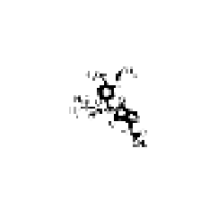 CCOc1cc([C@@H](CS(=O)(=O)N(C)C)N2C(=O)c3csc(NC(C)=O)c3C2=O)ccc1OC